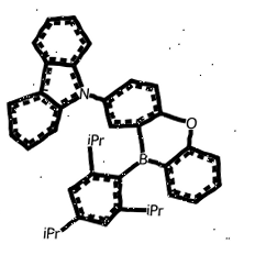 CC(C)c1cc(C(C)C)c(B2c3ccccc3Oc3ccc(-n4c5ccccc5c5ccccc54)cc32)c(C(C)C)c1